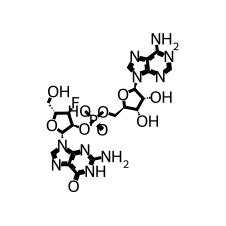 Nc1nc2c(ncn2[C@@H]2O[C@H](CO)[C@@H](F)[C@H]2OP(=O)(O)OC[C@H]2O[C@@H](n3cnc4c(N)ncnc43)[C@H](O)[C@@H]2O)c(=O)[nH]1